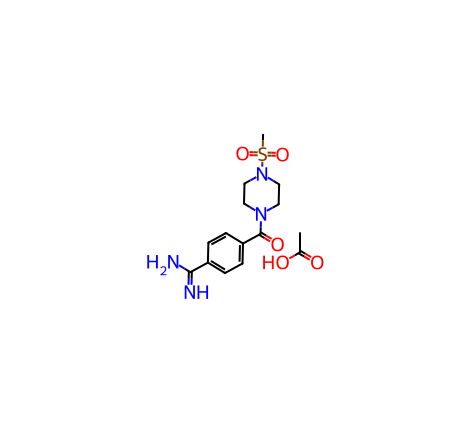 CC(=O)O.CS(=O)(=O)N1CCN(C(=O)c2ccc(C(=N)N)cc2)CC1